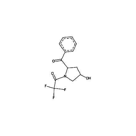 O=C(c1ccccc1)C1CC(O)CN1C(=O)C(F)(F)F